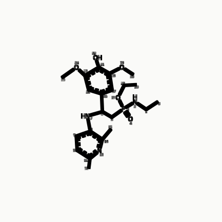 CCNP(=O)(CC(Nc1ccc(C)nc1C)c1cc(OC)c(O)c(OC)c1)OCC